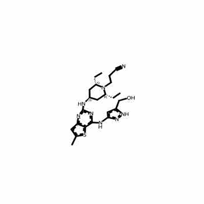 CC[C@@H]1C[C@@H](Nc2nc(Nc3cc(CO)[nH]n3)c3sc(C)cc3n2)C[C@H](CC)N1CCC#N